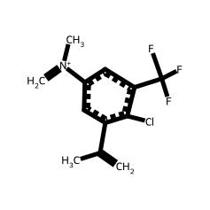 C=C(C)c1cc([N+](=C)C)cc(C(F)(F)F)c1Cl